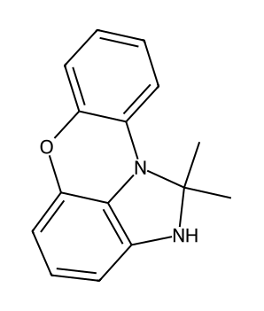 CC1(C)Nc2cccc3c2N1c1ccccc1O3